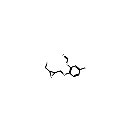 O=COc1cc(Cl)ccc1OCC1OC1CCl